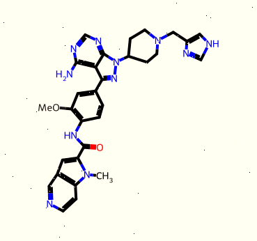 COc1cc(-c2nn(C3CCN(Cc4c[nH]cn4)CC3)c3ncnc(N)c23)ccc1NC(=O)c1cc2cnccc2n1C